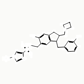 Cn1cnc(S(=O)(=O)NCc2cc3c(cc2F)CC(CN2CCC2)C3Cc2cccc(F)c2)c1